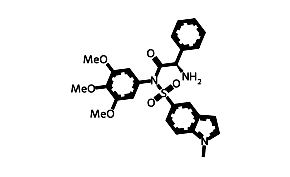 COc1cc(N(C(=O)[C@H](N)c2ccccc2)S(=O)(=O)c2ccc3c(ccn3C)c2)cc(OC)c1OC